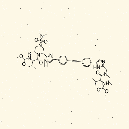 CCCN(Cc1ncc(-c2ccc(C#Cc3ccc(-c4c[nH]c([C@@H]5CN(S(=O)(=O)N(C)C)CCN5C(=O)[C@@H](NC(=O)OC)C(C)C)n4)cc3)cc2)[nH]1)C(=O)[C@@H](NC(=O)OC)C(C)C